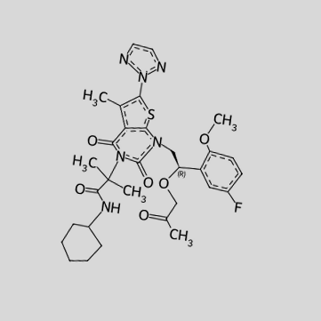 COc1ccc(F)cc1[C@H](Cn1c(=O)n(C(C)(C)C(=O)NC2CCCCC2)c(=O)c2c(C)c(-n3nccn3)sc21)OCC(C)=O